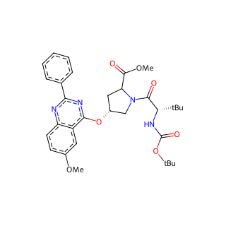 COC(=O)C1C[C@@H](Oc2nc(-c3ccccc3)nc3ccc(OC)cc23)CN1C(=O)[C@@H](NC(=O)OC(C)(C)C)C(C)(C)C